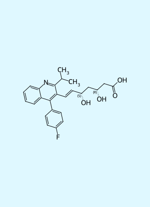 CC(C)c1nc2ccccc2c(-c2ccc(F)cc2)c1C=C[C@@H](O)C[C@@H](O)CC(=O)O